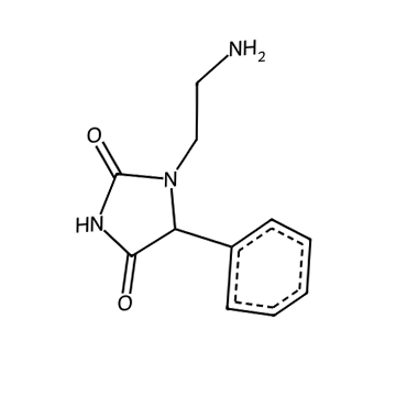 NCCN1C(=O)NC(=O)C1c1ccccc1